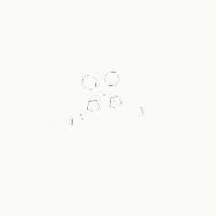 CC(C)(C)/C=C/[Si](C)(C)c1cc2c(s1)-c1sc([Si](C)(C)/C=C/C(C)(C)C)cc1[Si]2(c1ccccc1)c1ccccc1